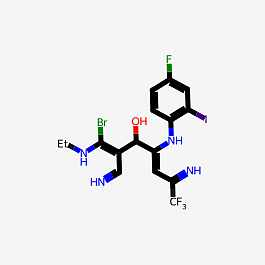 CCN/C(Br)=C(\C=N)C(O)/C(=C/C(=N)C(F)(F)F)Nc1ccc(F)cc1I